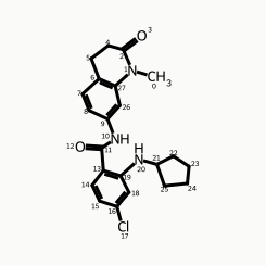 CN1C(=O)CCc2ccc(NC(=O)c3ccc(Cl)cc3NC3CCCC3)cc21